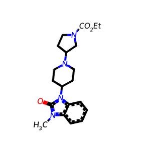 CCOC(=O)N1CCC(N2CCC(n3c(=O)n(C)c4ccccc43)CC2)C1